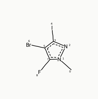 Cn1nc(I)c(Br)c1F